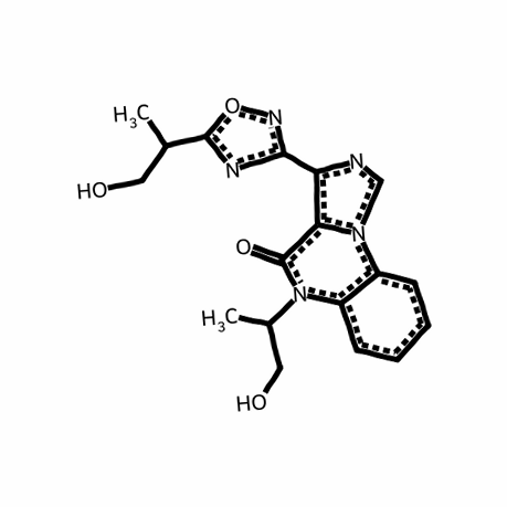 CC(CO)c1nc(-c2ncn3c2c(=O)n(C(C)CO)c2ccccc23)no1